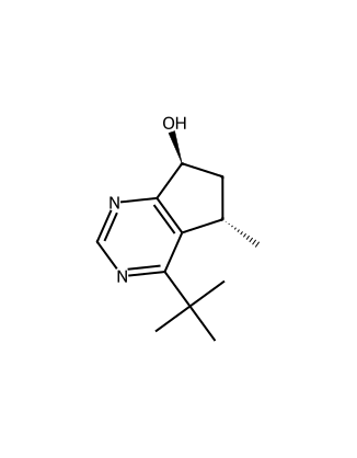 C[C@H]1C[C@H](O)c2ncnc(C(C)(C)C)c21